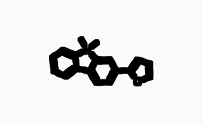 C[Si]1(C)c2ccccc2-c2ccc(-c3ccco3)cc21